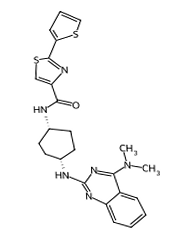 CN(C)c1nc(N[C@H]2CC[C@@H](NC(=O)c3csc(-c4cccs4)n3)CC2)nc2ccccc12